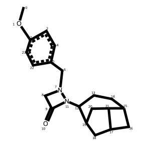 COc1ccc(CN2CC(=O)N2C2CCC3CC4CC2CC34)cc1